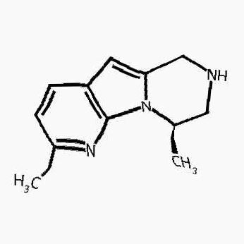 Cc1ccc2cc3n(c2n1)[C@H](C)CNC3